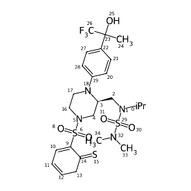 CC(C)N(C[C@H]1CN(S(=O)(=O)C2=CC=CCC2=S)CCN1c1ccc(C(C)(O)C(F)(F)F)cc1)S(=O)(=O)N(C)C